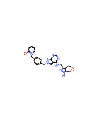 O=c1ccccn1Cc1ccc(Cn2cc3c(NCc4n[nH]c5c4CCOC5)ncnc3n2)cc1